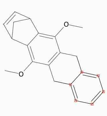 COc1c2c(c(OC)c3c1C1c4ccccc4C3c3ccccc31)C1C=CC2C1